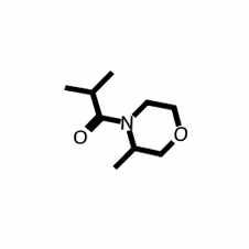 CC(C)C(=O)N1CCOCC1C